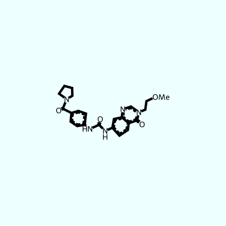 COCCn1cnc2cc(NC(=O)Nc3ccc(C(=O)N4CCCC4)cc3)ccc2c1=O